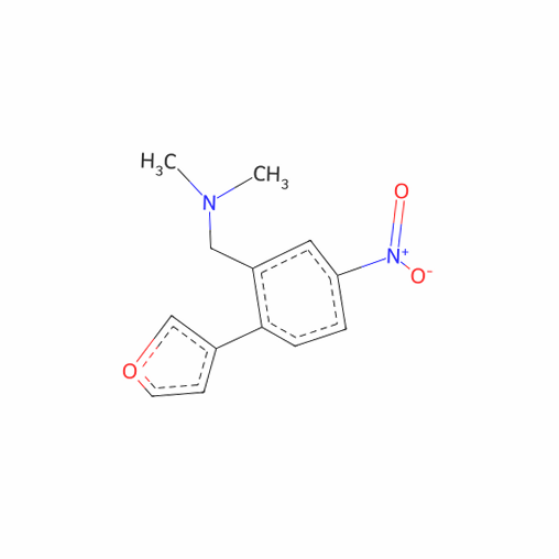 CN(C)Cc1cc([N+](=O)[O-])ccc1-c1ccoc1